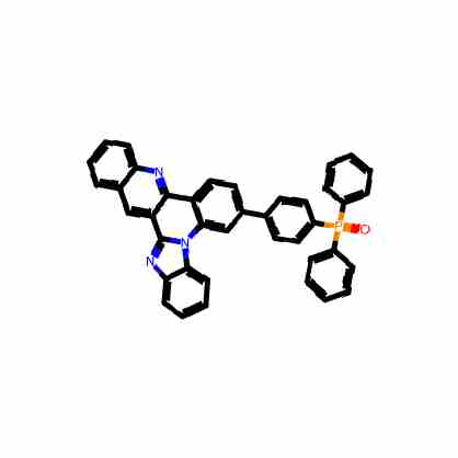 O=P(c1ccccc1)(c1ccccc1)c1ccc(-c2ccc3c4nc5ccccc5cc4c4nc5ccccc5n4c3c2)cc1